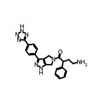 NCCC(C(=O)N1Cc2[nH]nc(-c3ccc(-c4nn[nH]n4)cc3)c2C1)c1ccccc1